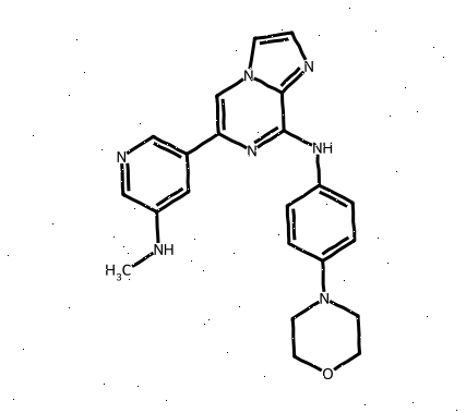 CNc1cncc(-c2cn3ccnc3c(Nc3ccc(N4CCOCC4)cc3)n2)c1